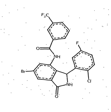 O=C(Nc1cc(Br)cc2c1C(c1cc(F)ccc1Cl)NC2=O)c1cccc(C(F)(F)F)c1